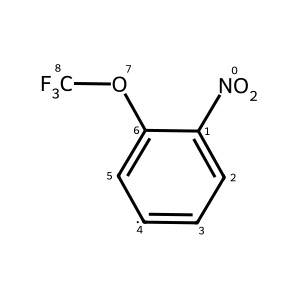 O=[N+]([O-])c1cc[c]cc1OC(F)(F)F